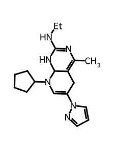 CCNC1=NC(C)=C2CC(n3cccn3)=CN(C3CCCC3)C2N1